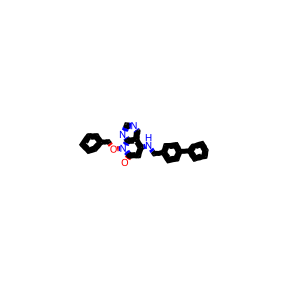 O=c1cc(NCc2ccc(-c3ccccc3)cc2)c2cncnc2n1OCc1ccccc1